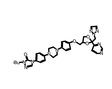 CCC(C)n1ncn(-c2ccc(N3CCN(c4ccc(OCC5COC(Cn6nccn6)(c6ccncn6)O5)cc4)CC3)cc2)c1=O